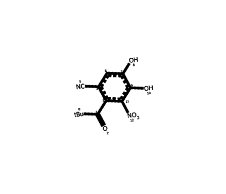 CC(C)(C)C(=O)c1c(C#N)cc(O)c(O)c1[N+](=O)[O-]